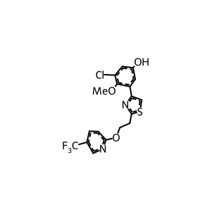 COc1c(Cl)cc(O)cc1-c1csc(CCOc2ccc(C(F)(F)F)cn2)n1